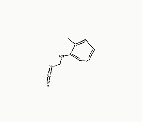 Cc1ccccc1NCN=C=S